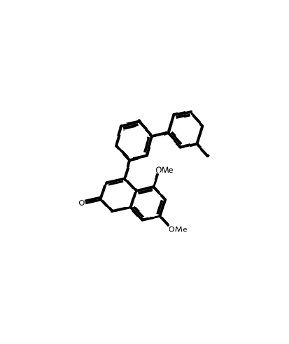 COc1cc2c(c(OC)c1)C(C1C=C(C3=CC(C)CC=C3)C=CC1)=CC(=O)C2